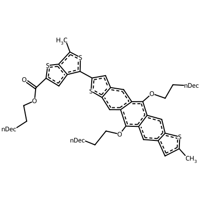 CCCCCCCCCCCCOC(=O)c1cc2c(-c3cc4cc5c(OCCCCCCCCCCCC)c6cc7sc(C)cc7cc6c(OCCCCCCCCCCCC)c5cc4s3)sc(C)c2s1